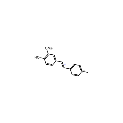 COc1cc(/C=C/c2cc[n+](C)cc2)ccc1O